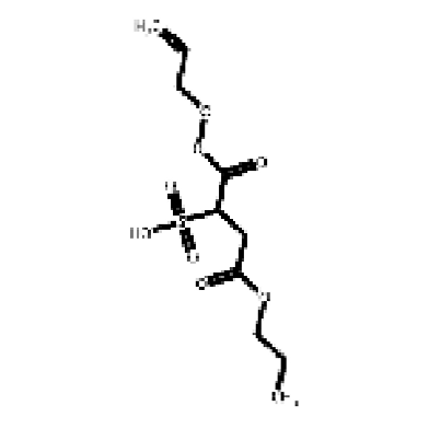 C=CCOOC(=O)C(CC(=O)OCCC)S(=O)(=O)O